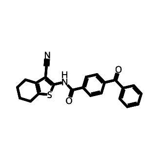 N#Cc1c(NC(=O)c2ccc(C(=O)c3ccccc3)cc2)sc2c1CCCC2